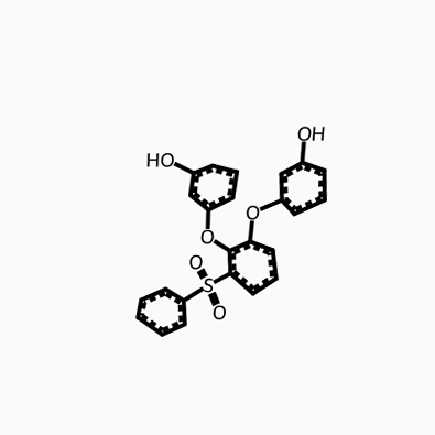 O=S(=O)(c1ccccc1)c1cccc(Oc2cccc(O)c2)c1Oc1cccc(O)c1